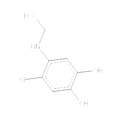 CCNc1cc(O)c(C)cc1Cl